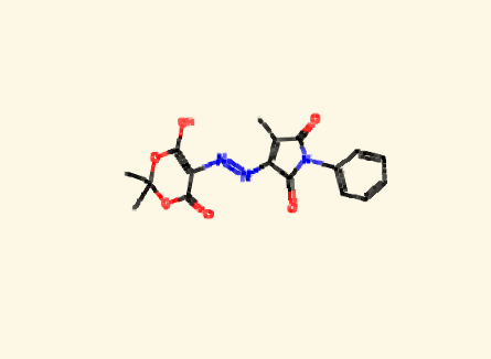 CC1=C(N=NC2=C(O)OC(C)(C)OC2=O)C(=O)N(c2ccccc2)C1=O